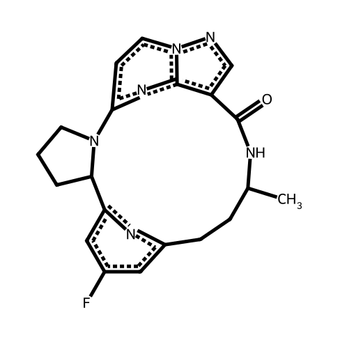 CC1CCc2cc(F)cc(n2)C2CCCN2c2ccn3ncc(c3n2)C(=O)N1